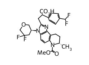 COC(=O)N1c2ccc3c(nc(C[C@H](C(=O)O)c4ccc(C(F)F)cc4)n3[C@@H]3COCC(F)(F)C3)c2CC[C@@H]1C